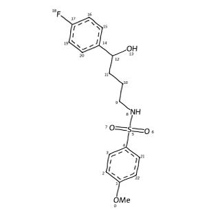 COc1ccc(S(=O)(=O)NCCCC(O)c2ccc(F)cc2)cc1